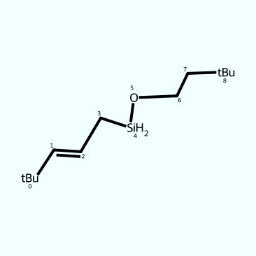 CC(C)(C)C=CC[SiH2]OCCC(C)(C)C